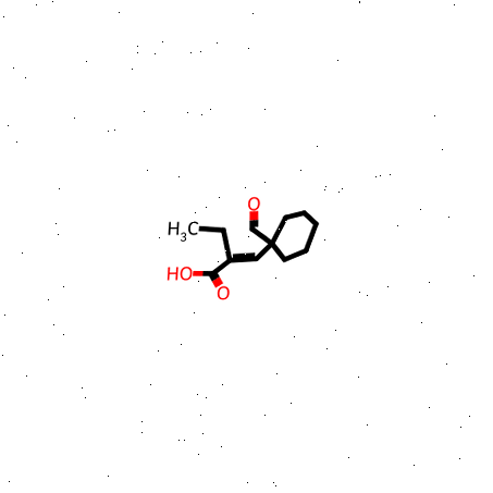 CCC(=CC1(C=O)CCCCC1)C(=O)O